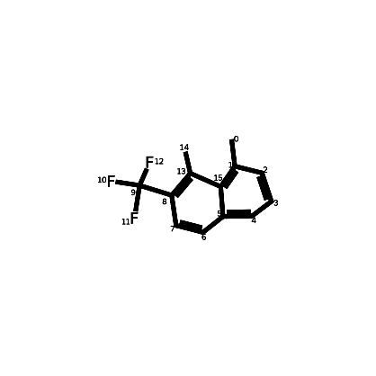 Cc1cccc2ccc(C(F)(F)F)c(C)c12